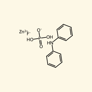 O=P([O-])(O)O.[F-].[Zn+2].c1ccc(Nc2ccccc2)cc1